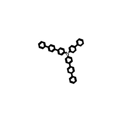 C1=CCCC(C2=CC=C(N(c3ccc(C4=CCC(c5ccccc5)C=C4)cc3)c3ccc(-c4ccc(-c5ccccc5)cc4)cc3)CC2)=C1